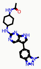 CC(=O)NC1CCC(Nc2ncc3c(-c4ccc5nnn(C)c5c4)c[nH]c3n2)CC1